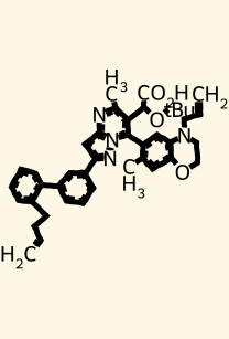 C=CCCc1ccccc1-c1cccc(-c2cc3nc(C)c(C(OC(C)(C)C)C(=O)O)c(-c4cc5c(cc4C)OCCN5CC=C)n3n2)c1